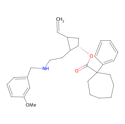 C=CC1C[C@H](OC(=O)C2(c3ccccc3)CCCCCC2)C1CCNCc1cccc(OC)c1